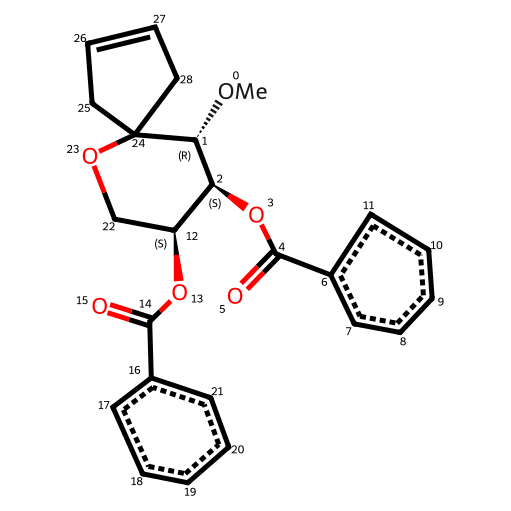 CO[C@@H]1[C@@H](OC(=O)c2ccccc2)[C@@H](OC(=O)c2ccccc2)COC12CC=CC2